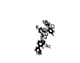 CC(=O)c1cn(CC(=O)N2C[C@H](F)CC2C(=O)Nc2cccc(Cl)c2-n2cncn2)c2ccc(-c3ccnnc3)cc12